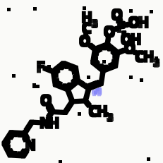 COc1cc(/C=C2\c3ccc(F)cc3C(CC(=O)NCc3ccccn3)C2C)cc(OC)c1OP(=O)(O)O